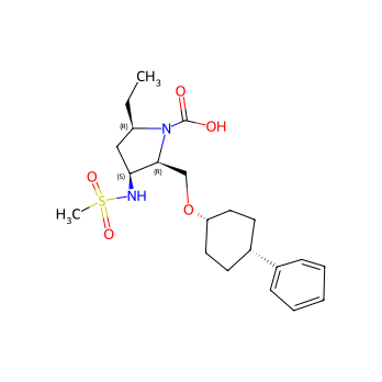 CC[C@@H]1C[C@H](NS(C)(=O)=O)[C@H](CO[C@H]2CC[C@@H](c3ccccc3)CC2)N1C(=O)O